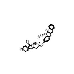 COC(=O)C(Cc1ccccc1)Cc1ccc(OCCCCC2(C(=O)OC(C)(C)C)CCNCC2)cc1